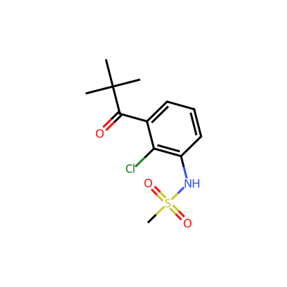 CC(C)(C)C(=O)c1cccc(NS(C)(=O)=O)c1Cl